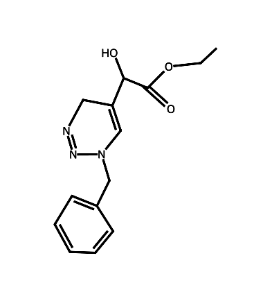 CCOC(=O)C(O)C1=CN(Cc2ccccc2)N=NC1